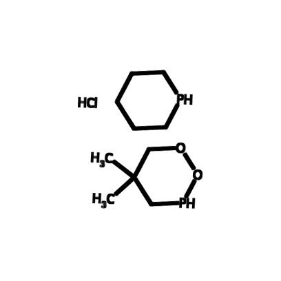 C1CCPCC1.CC1(C)COOPC1.Cl